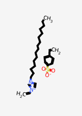 C=C[n+]1ccn(CCCCCCCCCCCCCCCC)c1.C=Cc1ccc(S(=O)(=O)[O-])cc1